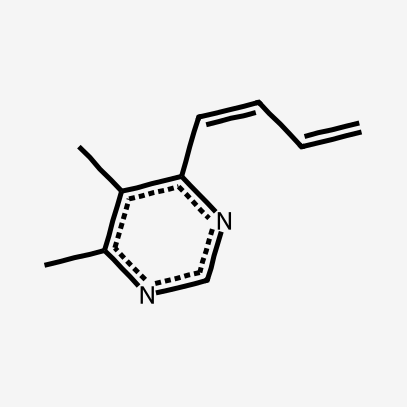 C=C/C=C\c1ncnc(C)c1C